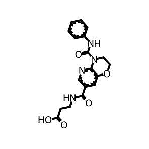 O=C(O)CCNC(=O)c1cnc2c(c1)OCCN2C(=O)Nc1ccccc1